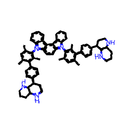 Cc1cc(C)c(-n2c3ccccc3c3c4c5ccccc5n(-c5c(C)cc(C)c(-c6ccc(C7CCNC8CCCNC87)cc6)c5C)c4ccc32)c(C)c1-c1ccc(C2CCNC3CCCNC32)cc1